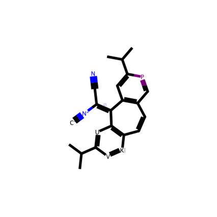 [C-]#[N+]/C(C#N)=C1\[C]2=[C](C=Cc3cpc(C(C)C)cc31)[K]=[V][C](C(C)C)=[U]2